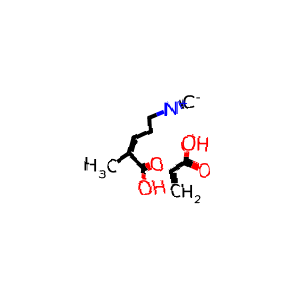 C=CC(=O)O.[C-]#[N+]CCC=C(C)C(=O)O